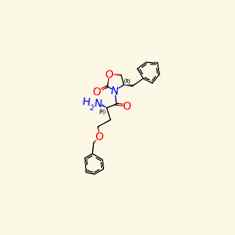 N[C@H](CCOCc1ccccc1)C(=O)N1C(=O)OC[C@H]1Cc1ccccc1